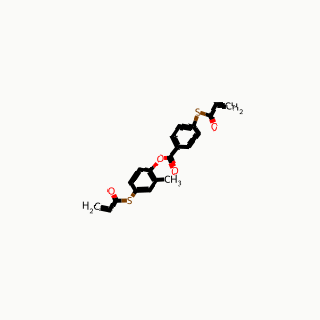 C=CC(=O)Sc1ccc(C(=O)Oc2ccc(SC(=O)C=C)cc2C)cc1